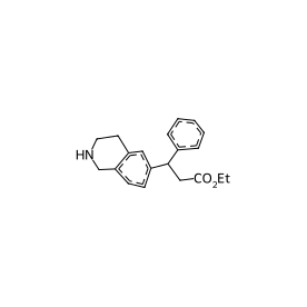 CCOC(=O)CC(c1ccccc1)c1ccc2c(c1)CCNC2